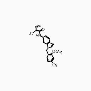 CCCCC(CC)C(=O)Nc1ccc2ccn(Cc3ccc(C#N)cc3OC)c2c1